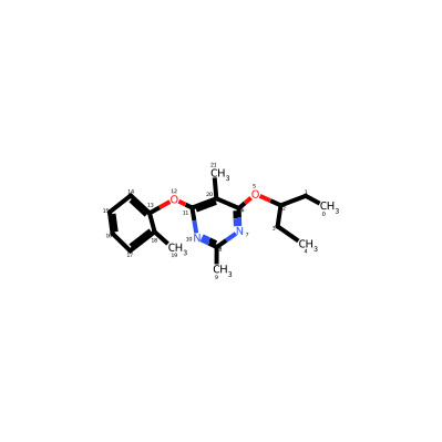 CCC(CC)Oc1nc(C)nc(Oc2ccccc2C)c1C